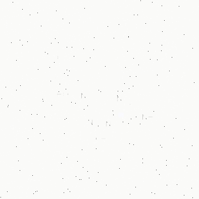 Cc1nc2c(c(/C(N)=C/C=N)n1)CCN(C(O)c1cccc(C(F)(F)F)c1C)C2